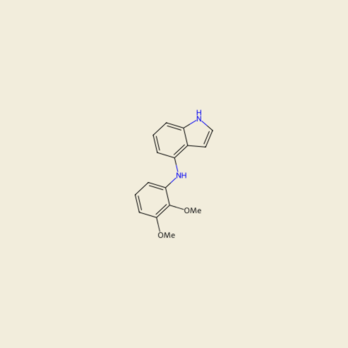 COc1cccc(Nc2cccc3[nH]ccc23)c1OC